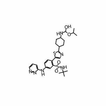 CC(C)OC(O)NC1CCC(c2ncc(-c3ccc(Nc4cccnn4)cc3S(=O)(=O)NC(C)(C)C)s2)CC1